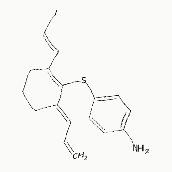 C=C/C=C1\CCCC(/C=C/I)=C1Sc1ccc(N)cc1